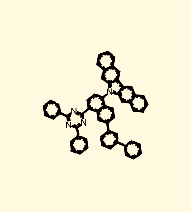 c1ccc(-c2cccc(-c3ccc4c(-n5c6cc7ccccc7cc6c6cc7ccccc7cc65)ccc(-c5nc(-c6ccccc6)nc(-c6ccccc6)n5)c4c3)c2)cc1